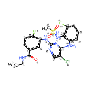 CCNC(=O)c1ccc(F)c(Nc2ncc(Cl)c(Nc3cccc(F)c3NS(C)(=O)=O)n2)c1